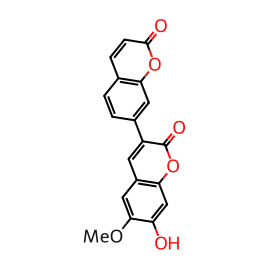 COc1cc2cc(-c3ccc4ccc(=O)oc4c3)c(=O)oc2cc1O